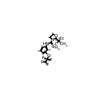 CCC(C)(C)C1OCCN1C(=S)Nc1cccc(OC(F)(F)C(F)F)c1